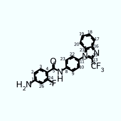 Nc1ccc(C(=O)Nc2ccc(-n3c(C(F)(F)F)nc4ccccc43)cc2)c(F)c1